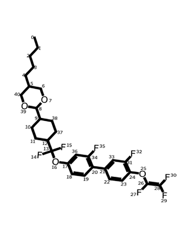 CCCCCC1COC(C2CCC(C(F)(F)Oc3ccc(-c4ccc(OC(F)=C(F)F)c(F)c4)c(F)c3)CC2)OC1